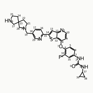 O=C(Nc1ccc(Oc2ccnc3cc(-c4ccc(CN5CCC6(CCNC6)C5)cn4)sc23)c(F)c1)NC1CC1